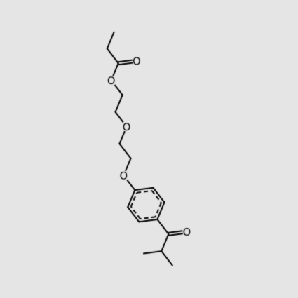 CCC(=O)OCCOCCOc1ccc(C(=O)C(C)C)cc1